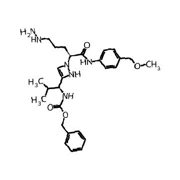 COCc1ccc(NC(=O)[C@H](CCCNN)n2cc([C@@H](NC(=O)OCc3ccccc3)C(C)C)[nH]2)cc1